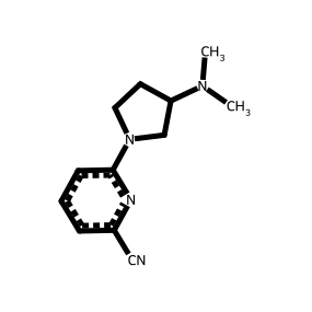 CN(C)C1CCN(c2cccc(C#N)n2)C1